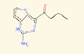 CCCC(=O)c1nc(N)[nH]c2ccnc1-2